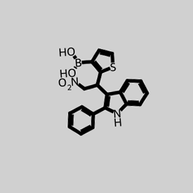 O=[N+]([O-])CC(c1sccc1B(O)O)c1c(-c2ccccc2)[nH]c2ccccc12